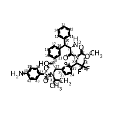 COC(=O)N(C(=O)[C@@H](N)C(c1ccccc1)c1ccccc1)[C@H](c1ccc([C@@H](CO)N(C(C)C)S(=O)(=O)c2ccc(N)cc2)s1)C(F)(F)F